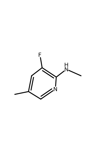 CNc1ncc(C)cc1F